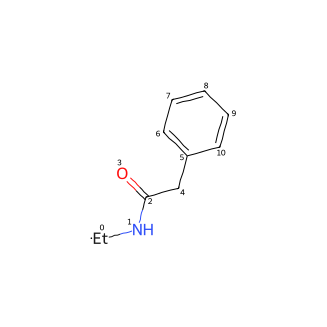 C[CH]NC(=O)Cc1ccccc1